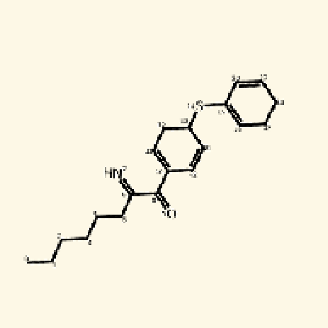 CCCCCCC(=N)C(=O)C1=CCC(SC2=CCCC=C2)C=C1